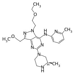 CCOCCn1nc(COC)c2nc(N3CCN[C@H](C)C3)nc(Nc3cccc(C)n3)c21